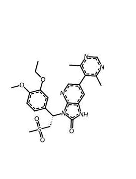 CCOc1cc([C@@H](CS(C)(=O)=O)n2c(=O)[nH]c3cc(-c4c(C)ncnc4C)cnc32)ccc1OC